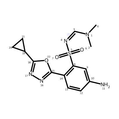 CN(C)/C=N\S(=O)(=O)c1cc(N)ccc1-c1nnc(C2CC2)o1